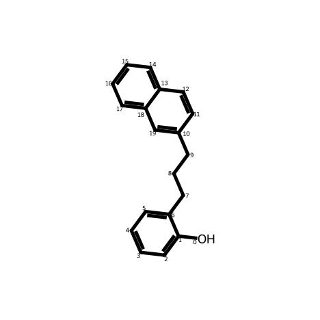 Oc1ccccc1CCCc1ccc2ccccc2c1